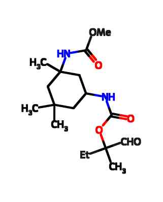 CCC(C)(C=O)OC(=O)NC1CC(C)(C)CC(C)(NC(=O)OC)C1